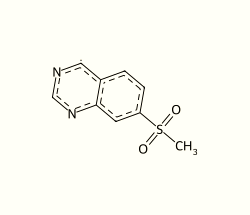 CS(=O)(=O)c1ccc2[c]ncnc2c1